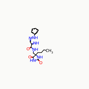 CCCCC1(CNC(=O)C(=N)/C=N\Nc2ccccc2)NC(=O)NC1=O